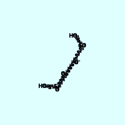 O=C(CSCSCSCC[S+]([O-])CSCSCSCSC(=O)CSCSCSCC(=O)SCCSCCO)SCCSCCO